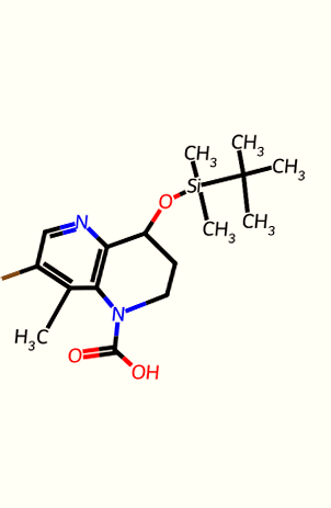 Cc1c(Br)cnc2c1N(C(=O)O)CCC2O[Si](C)(C)C(C)(C)C